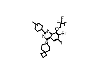 CN1CCC(c2nc(N3CCC4(CCC4)CC3)c3cc(I)c(Br)c(OCC(F)(F)F)c3n2)CC1